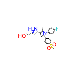 Cc1c(C(N)CCCCO)cc(-c2ccc(S(C)(=O)=O)cc2)n1-c1ccc(F)cc1